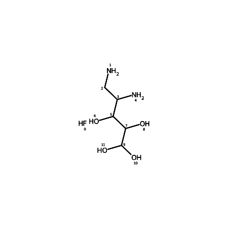 F.NCC(N)C(O)C(O)C(O)O